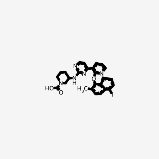 Cc1ccc2c(I)cccc2c1Oc1ncccc1-c1ccnc(NC2CCCN(C(=O)O)C2)n1